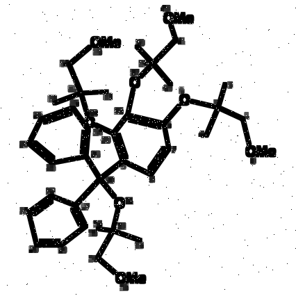 COCC(C)(C)Oc1ccc(C(OC(C)(C)COC)(c2ccccc2)c2ccccc2)c(OC(C)(C)COC)c1OC(C)(C)COC